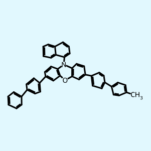 Cc1ccc(-c2ccc(-c3ccc4c(c3)Oc3cc(-c5ccc(-c6ccccc6)cc5)ccc3N4c3cccc4ccccc34)cc2)cc1